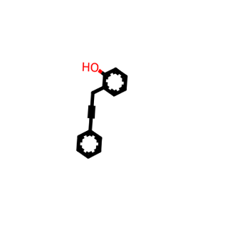 Oc1ccccc1CC#Cc1ccccc1